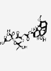 COc1ccc2c3c1O[C@@H]1C(OC(=O)C[C@H](OC(=O)[C@H](C)O)C(=O)O[C@@H](CC(=O)O)C(=O)O)=CC[C@]4(O)[C@@H](CCC[C@@]314)C2